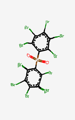 O=S(=O)(c1c(Br)c(Br)c(Br)c(Br)c1Br)c1c(Br)c(Br)c(Br)c(Br)c1Br